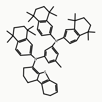 Cc1cc(N(C2=C3SC4=C(CCC=C4)C3CCC2)c2ccc3c(c2)C(C)(C)CCC3(C)C)cc(N(c2ccc3c(c2)C(C)(C)CCC3(C)C)c2ccc3c(c2)C(C)(C)CCC3(C)C)c1